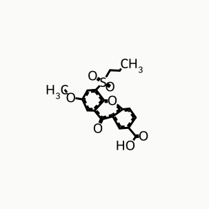 CCCS(=O)(=O)c1cc(OC)cc2c(=O)c3cc(C(=O)O)ccc3oc12